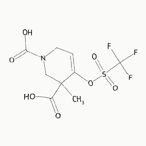 CC1(C(=O)O)CN(C(=O)O)CC=C1OS(=O)(=O)C(F)(F)F